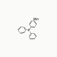 [Mn].c1ccc(P(c2ccccc2)c2ccccc2)cc1